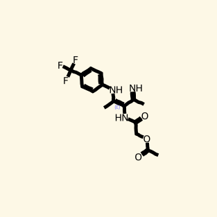 CC(=N)/C(NC(=O)COC(C)=O)=C(/C)Nc1ccc(C(F)(F)F)cc1